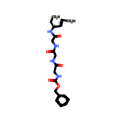 CCOC(=O)/C=C/[C@H](CC(=O)O)NC(=O)CNC(=O)CNC(=O)CNC(=O)OCc1ccccc1